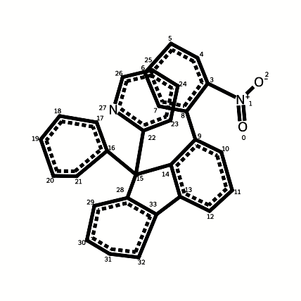 O=[N+]([O-])c1ccccc1-c1cccc2c1C(c1ccccc1)(c1ccccn1)c1ccccc1-2